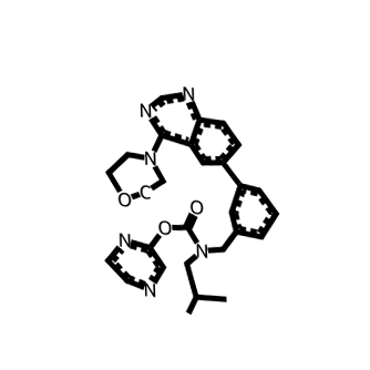 CC(C)CN(Cc1cccc(-c2ccc3ncnc(N4CCOCC4)c3c2)c1)C(=O)Oc1cnccn1